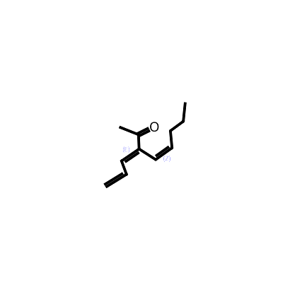 C=C/C=C(\C=C/CCC)C(C)=O